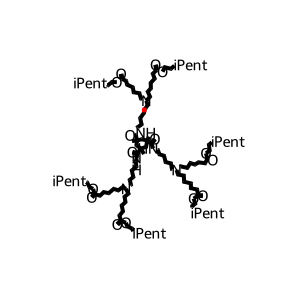 CCCC(C)CCOC(=O)CCCCCCN(CCCCCCNC(=O)C1(C)CC(C)(C(=O)NCCCCCCN(CCCCCCC(=O)OCCC(C)CCC)CCCCCCC(=O)OCCC(C)CCC)CC(C)(C(=O)NCCCCCCN(CCCCCCC(=O)OCCC(C)CCC)CCCCCCC(=O)OCCC(C)CCC)C1)CCCCCCC(=O)OCCC(C)CCC